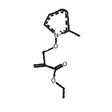 C=C(CO[n+]1ccccc1C)C(=O)OCC